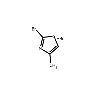 Br.Cc1csc(Br)n1